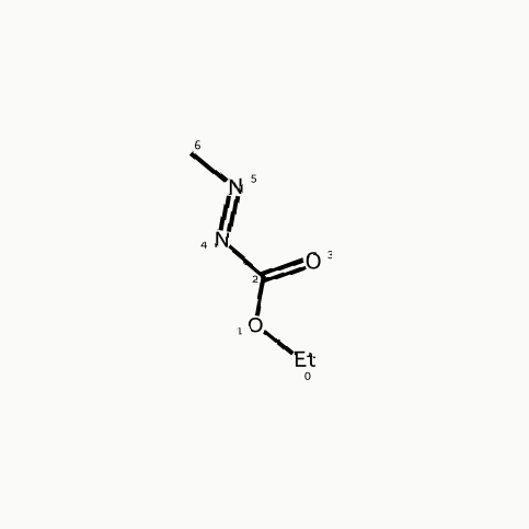 CCOC(=O)N=NC